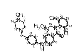 CN1CCN(Cc2ccc(Nc3ncc4c(n3)N(C)CN(c3c(Cl)cccc3Cl)C4=O)cc2)CC1